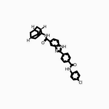 O=C(Nc1ccc(Cl)cc1)c1ccc(-c2nc3cc(C(=O)NC4C5C[C@H]6C[C@@H](C5)C[C@@H]4C6)ccc3[nH]2)cc1